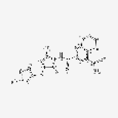 CCc1cc(Cn2nc(C(F)(F)F)c(NC(=O)c3cc(C(N)=O)c4ccccc4n3)c2C)on1